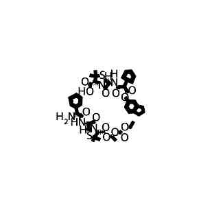 CC1(C)S[C@@H]2[C@H](NC(=O)C(C(=O)Oc3ccc4c(c3)CCC4)c3ccccc3)C(=O)N2[C@H]1C(=O)O.CCOC(=O)OC(C)OC(=O)[C@@H]1N2C(=O)[C@@H](NC(=O)[C@H](N)c3ccccc3)[C@H]2SC1(C)C